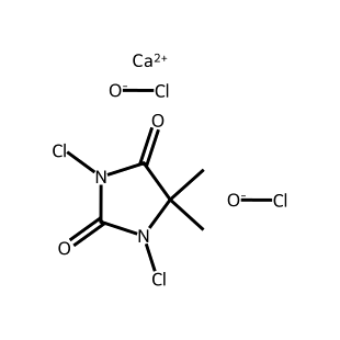 CC1(C)C(=O)N(Cl)C(=O)N1Cl.[Ca+2].[O-]Cl.[O-]Cl